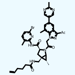 C=CCCCC(=O)NC[C@@]12C[C@@H](C(=O)Nc3nc(Br)ccc3C)N(C(=O)Cn3nc(C(C)=O)c4cc(-c5cnc(C)nc5)cc(C)c43)C1[C@@H]2C